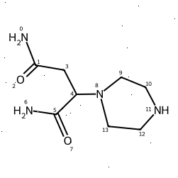 NC(=O)CC(C(N)=O)N1CCNCC1